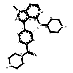 Cn1nc(-c2ccc(C(=O)N3CCOCC3)cc2)c2c(OC3CCOCC3)nccc21